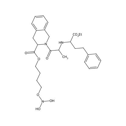 CCOC(=O)C(CCc1ccccc1)NC(C)C(=O)N1Cc2ccccc2CC1C(=O)OCCCCON(O)O